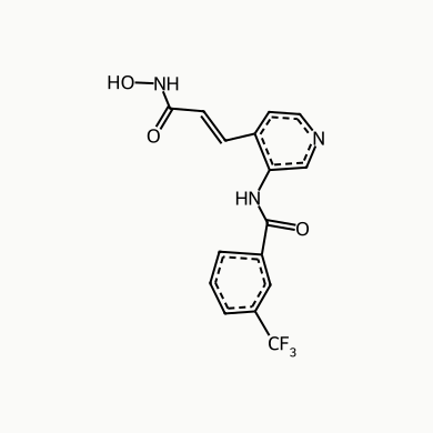 O=C(/C=C/c1ccncc1NC(=O)c1cccc(C(F)(F)F)c1)NO